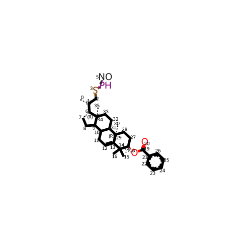 C[C@H](CSPN=O)[C@H]1CCC2C3CC=C4C(C)(C)[C@@H](OC(=O)c5ccccc5)CC[C@]4(C)C3CC[C@@]21C